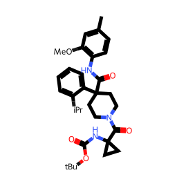 COc1cc(C)ccc1NC(=O)C1(c2ccccc2C(C)C)CCN(C(=O)C2(NC(=O)OC(C)(C)C)CC2)CC1